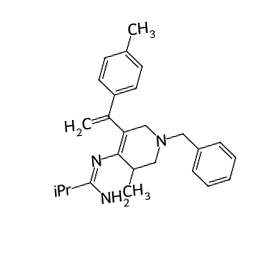 C=C(C1=C(/N=C(\N)C(C)C)C(C)CN(Cc2ccccc2)C1)c1ccc(C)cc1